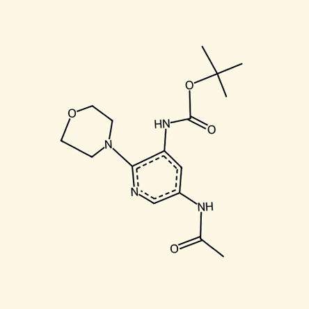 CC(=O)Nc1cnc(N2CCOCC2)c(NC(=O)OC(C)(C)C)c1